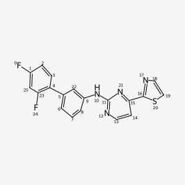 Fc1ccc(-c2cccc(Nc3nccc(-c4nccs4)n3)c2)c(F)c1